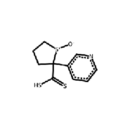 [O-][S+]1CCCC1(C(=S)S)c1cccnc1